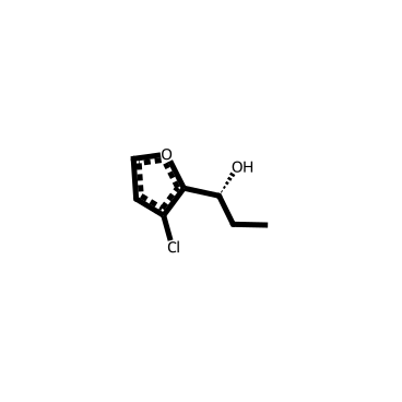 CC[C@@H](O)c1occc1Cl